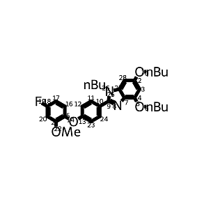 CCCCOc1cc(OCCCC)c2nc(-c3ccc(Oc4ccc(F)cc4OC)cc3)n(CCCC)c2c1